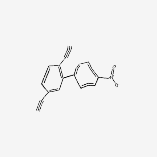 C#Cc1ccc(C#C)c(-c2ccc([N+](=O)[O-])cc2)c1